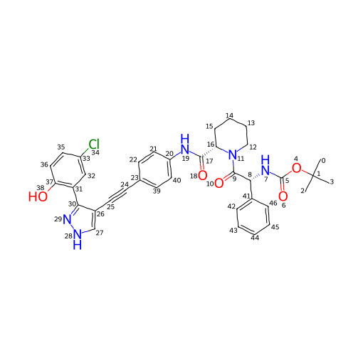 CC(C)(C)OC(=O)N[C@@H](C(=O)N1CCCC[C@H]1C(=O)Nc1ccc(C#Cc2c[nH]nc2-c2cc(Cl)ccc2O)cc1)c1ccccc1